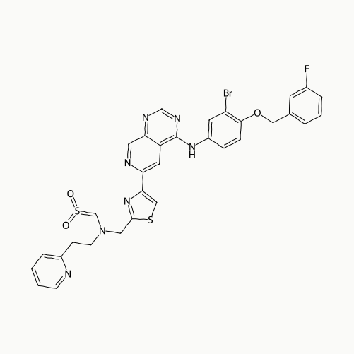 O=S(=O)=CN(CCc1ccccn1)Cc1nc(-c2cc3c(Nc4ccc(OCc5cccc(F)c5)c(Br)c4)ncnc3cn2)cs1